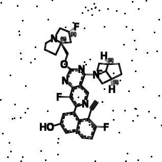 C#Cc1c(F)ccc2cc(O)cc(-c3ncc4c(N5C[C@H]6CC[C@@H](C5)C6F)nc(OC[C@@]56CCCN5C[C@H](F)C6)nc4c3F)c12